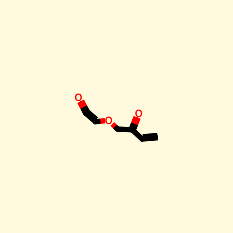 C=CC(=O)COC=C=O